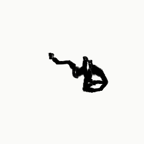 O=C(OCCF)N1CC2CCC1CNC2